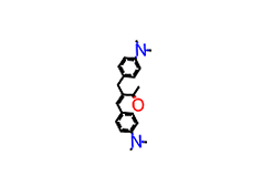 CC(=O)C(=Cc1ccc(N(C)C)cc1)Cc1ccc(N(C)C)cc1